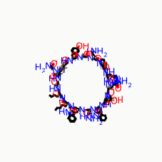 CCCCC[C@H]1C(=O)N(C)[C@@H](CCCC)C(=O)N[C@@H](C)C(=O)N[C@H](C(=O)NCC(N)=O)CSCC(=O)N[C@@H](Cc2ccc(O)cc2)C(=O)N(C)[C@@H](C)C(=O)N[C@@H](CC(N)=O)C(=O)N2CCC[C@H]2C(=O)N[C@@H](Cc2cnc[nH]2)C(=O)N[C@@H](CCC(N)=O)C(=O)N2C[C@H](O)C[C@H]2C(=O)N[C@@H](Cc2c[nH]c3ccccc23)C(=O)N[C@@H](CCN)C(=O)N[C@@H](Cc2c[nH]c3ccccc23)C(=O)N1C